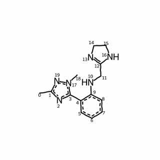 Cc1nc(-c2ccccc2NCC2=NCCN2)n(C)n1